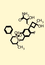 C[C@H]1CC[C@H](c2ccccc2)S(=O)(=O)N1Cc1cc(F)c([C@]2(CC(O)C(N)=O)C[C@](C)(O)C2)cc1F